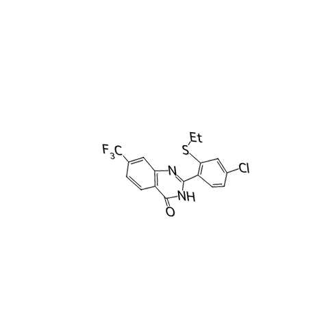 CCSc1cc(Cl)ccc1-c1nc2cc(C(F)(F)F)ccc2c(=O)[nH]1